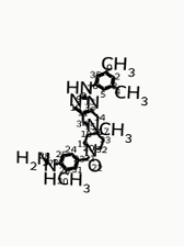 Cc1cc(C)cc(Nc2ncc3c(n2)CN(C2(C)CCN(C(=O)c4ccc(NN)c(C)c4)CC2)C3)c1